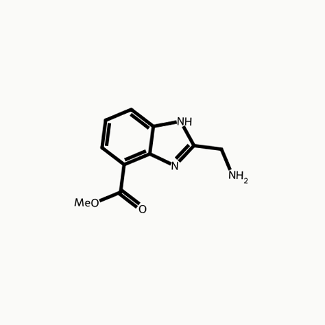 COC(=O)c1cccc2[nH]c(CN)nc12